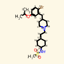 CC(C)Oc1ccc(Br)c(CC2CCN(CCC3CCC(NS(C)(=O)=O)CC3)CC2)c1